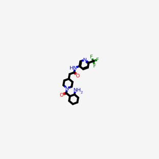 NC1CCCCC1C(=O)N1CCC(CC(=O)Nc2ccc(C(F)(F)F)nc2)CC1